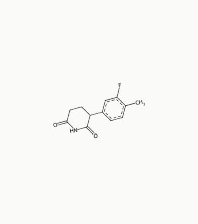 Cc1ccc(C2CCC(=O)NC2=O)cc1F